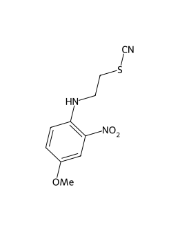 COc1ccc(NCCSC#N)c([N+](=O)[O-])c1